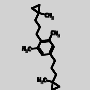 Cc1cc(CCCC2(C)CC2)cc(C)c1CCCC1(C)CC1